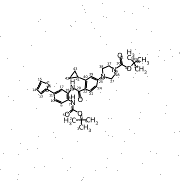 CC(C)(C)OC(=O)Nc1ccc(-c2cccs2)cc1NC(=O)c1ccc(N2CCN(C(=O)OC(C)(C)C)CC2)cc1C1CC1